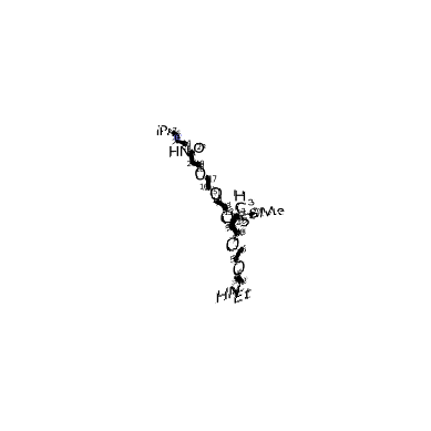 CCNCCOCCOCCC(C)(OCCOCCOCCC(=O)NC/C=C/C(C)C)SSC